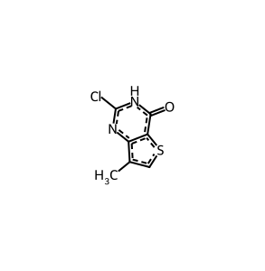 Cc1csc2c(=O)[nH]c(Cl)nc12